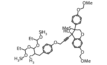 CCC(O[SiH3])OC(OC(CC)O[SiH3])C(C)Cc1ccc(OCC#CC2(O)c3ccc(OCOC)cc3OCC2(SC)c2ccc(OCOC)cc2)cc1